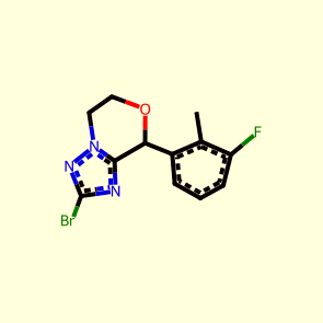 Cc1c(F)cccc1C1OCCn2nc(Br)nc21